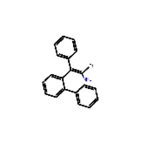 CCC(N)=C(c1ccccc1)c1ccccc1-c1ccccc1